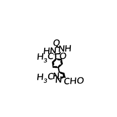 Cn1nc(C=O)cc1-c1ccc([C@@]2(C)NC(=O)NC2=O)cc1